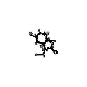 CCn1c(=O)sc2ncc(C)cc21